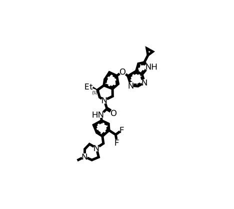 CC[C@@H]1CN(C(=O)Nc2ccc(CN3CCN(C)CC3)c(C(F)F)c2)Cc2cc(Oc3ncnc4[nH]c(C5CC5)cc34)ccc21